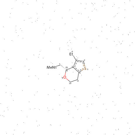 CCc1csc2c1[C@@H](CNC)OCC2